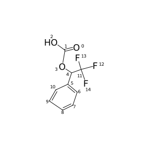 O=C(O)OC(c1ccccc1)C(F)(F)F